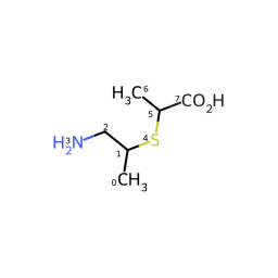 CC(CN)SC(C)C(=O)O